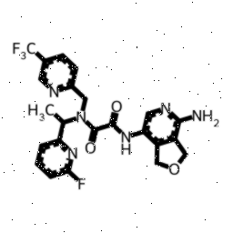 CC(c1cccc(F)n1)N(Cc1ccc(C(F)(F)F)cn1)C(=O)C(=O)Nc1cnc(N)c2c1COC2